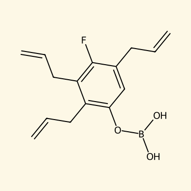 C=CCc1cc(OB(O)O)c(CC=C)c(CC=C)c1F